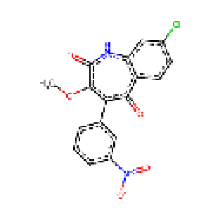 COc1c(-c2cccc([N+](=O)[O-])c2)c(=O)c2ccc(Cl)cc2[nH]c1=O